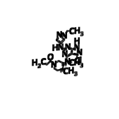 C=CC(=O)N1CC[C@@H](C)[C@@H](N(C)c2nc(Nc3cnn(CC)c3)nc3[nH]nc(Cl)c23)C1